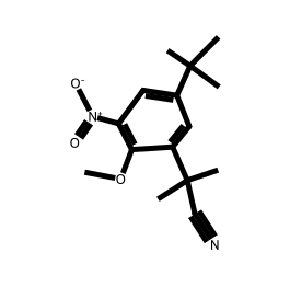 COc1c([N+](=O)[O-])cc(C(C)(C)C)cc1C(C)(C)C#N